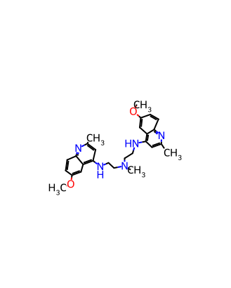 COc1ccc2nc(C)cc(NCCN(C)CCNc3cc(C)nc4ccc(OC)cc34)c2c1